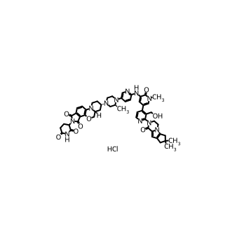 C[C@H]1CN([C@H]2CCN3c4ccc5c(c4OC[C@H]3C2)C(=O)N(C2CCC(=O)NC2=O)C5=O)CCN1c1ccc(Nc2cc(-c3ccnc(N4CCn5c(cc6c5CC(C)(C)C6)C4=O)c3CO)cn(C)c2=O)nc1.Cl